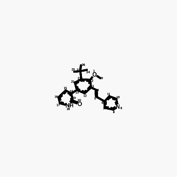 COc1c(C=Cc2ccncc2)cc(-c2ccc[nH]c2=O)cc1C(C)(C)C